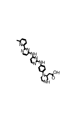 Cc1cccc(-c2nccc(Nc3ccnc(Nc4ccc(N5CCNCC5CC(=O)O)cc4)n3)n2)n1